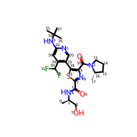 C[C@H](CO)NC(=O)c1nc(C(=O)N2CCC[C@@H]2C)c(-c2cnc(NC(C)(C)C)cc2C(F)F)s1